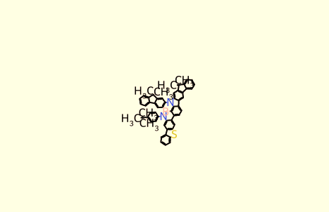 CC(C)(C)c1ccc(N2B3c4cc5c(cc4-n4c6cc7c(cc6c6ccc(c3c64)-c3cc4sc6ccccc6c4cc32)-c2ccccc2C7(C)C)C(C)(C)c2ccccc2-5)cc1